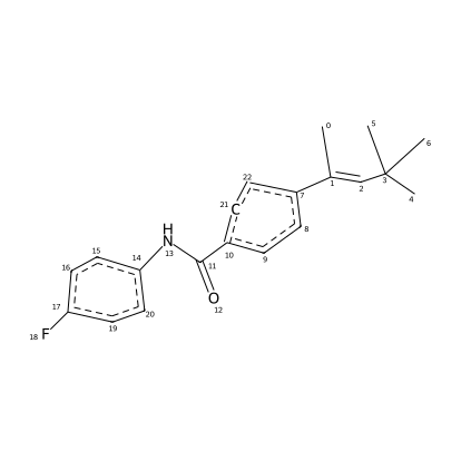 C/C(=C\C(C)(C)C)c1ccc(C(=O)Nc2ccc(F)cc2)cc1